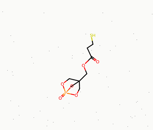 O=C(CCS)OCC12COP(=O)(OC1)OC2